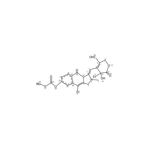 CCC1=C2CN(C)/C(=C\C3=C(C=O)COC(=O)C3(O)CC)C2Nc2ccc(OC(=O)OC(C)(C)C)cc21